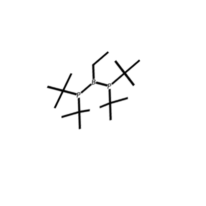 CCB(P(C(C)(C)C)C(C)(C)C)P(C(C)(C)C)C(C)(C)C